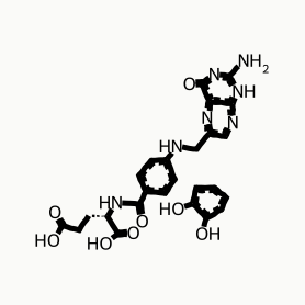 Nc1nc(=O)c2nc(CNc3ccc(C(=O)N[C@@H](CCC(=O)O)C(=O)O)cc3)cnc2[nH]1.Oc1ccccc1O